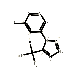 Cc1cncc(-n2nnnc2C(F)(F)F)c1